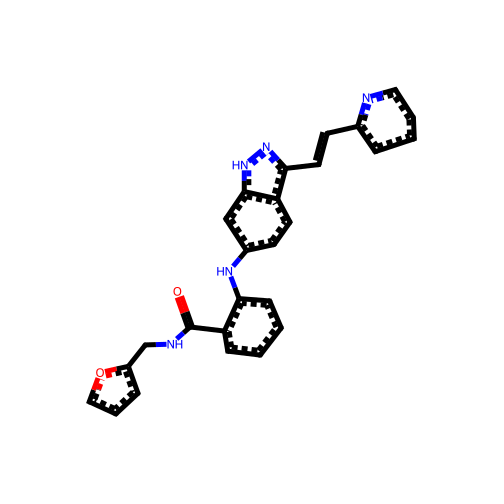 O=C(NCc1ccco1)c1ccccc1Nc1ccc2c(/C=C/c3ccccn3)n[nH]c2c1